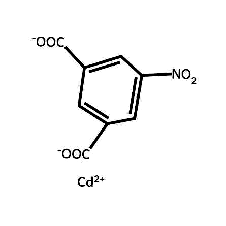 O=C([O-])c1cc(C(=O)[O-])cc([N+](=O)[O-])c1.[Cd+2]